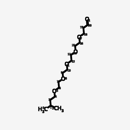 CC(C)CCOCCOCCOCCOCCOCCC=O